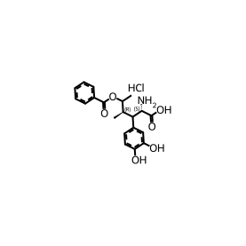 CC(OC(=O)c1ccccc1)[C@H](C)C(c1ccc(O)c(O)c1)[C@H](N)C(=O)O.Cl